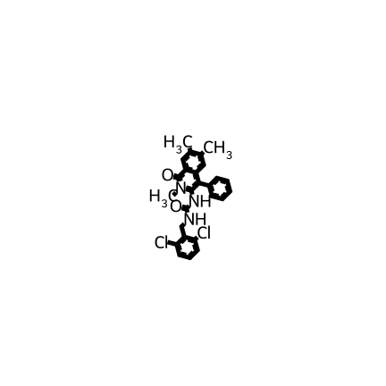 Cc1cc2c(-c3ccccc3)c(NC(=O)NCc3c(Cl)cccc3Cl)n(C)c(=O)c2cc1C